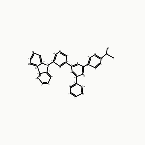 CC(C)c1ccc(-c2cc(-c3cccc(-n4c5ccccc5c5ncccc54)c3)cc(-c3ccccn3)n2)cc1